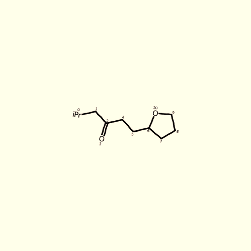 CC(C)CC(=O)CCC1CCCO1